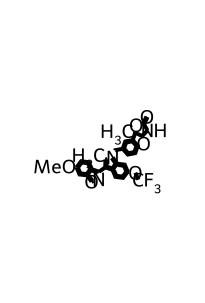 COc1ccc2c(-c3c(C)n(Cc4cccc([C@]5(C)OC(=O)NC5=O)c4)c4cc(OC(F)(F)F)ccc34)noc2c1